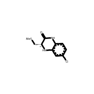 CSC[C@H]1Nc2cc(Cl)ccc2NC1=O